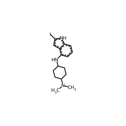 CN(C)C1CCC(Nc2cccc3[nH]c(I)cc23)CC1